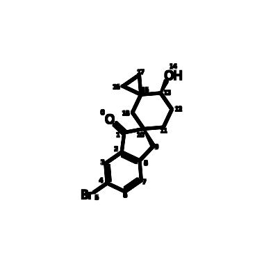 O=C1c2cc(Br)ccc2C[C@@]12CC[C@H](O)C1(CC1)C2